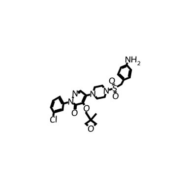 CC1(COc2c(N3CCN(S(=O)(=O)Cc4ccc(N)cc4)CC3)cnn(-c3cccc(Cl)c3)c2=O)COC1